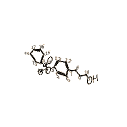 O=S(=O)(Oc1ccc(CCCO)cc1)c1ccccc1